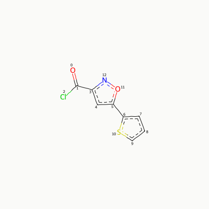 O=C(Cl)c1cc(-c2cccs2)on1